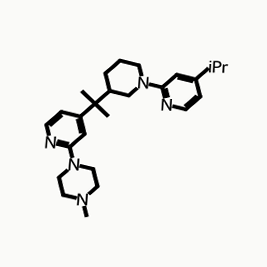 CC(C)c1ccnc(N2CCCC(C(C)(C)c3ccnc(N4CCN(C)CC4)c3)C2)c1